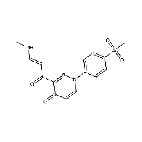 CN/C=C/C(=O)c1nn(-c2ccc(S(C)(=O)=O)cc2)ccc1=O